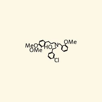 COc1ccccc1CN(C[CH]Cc1ccc(OC)c(OC)c1)CC(O)c1cccc(Cl)c1